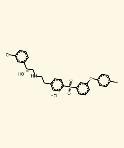 Cl.O=S(=O)(c1ccc(CCNC[C@H](O)c2cccc(Cl)c2)cc1)c1cccc(Oc2ccc(F)cc2)c1